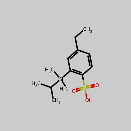 CCc1ccc(S(=O)(=O)O)c([Si](C)(C)C(C)C)c1